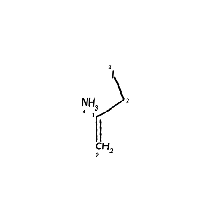 C=CCI.N